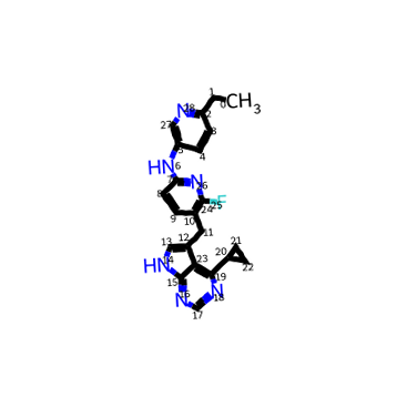 CCc1ccc(Nc2ccc(Cc3c[nH]c4ncnc(C5CC5)c34)c(F)n2)cn1